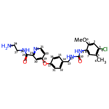 COc1cc(Cl)c(C)cc1NC(=O)NCc1ccc(Oc2ccnc(C(=O)NCCN)c2)cc1